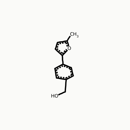 Cc1ccc(-c2ccc(CO)cc2)o1